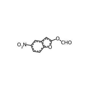 O=COc1cc2cc([N+](=O)[O-])ccc2o1